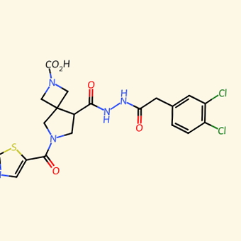 O=C(Cc1ccc(Cl)c(Cl)c1)NNC(=O)C1CN(C(=O)c2cncs2)CC12CN(C(=O)O)C2